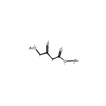 CCC(C)OC(=O)CC(=O)COC(C)=O